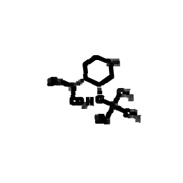 CC(C)(C)N(C(=O)O)[C@@H]1CCNC[C@@H]1O[Si](C)(C)C(C)(C)C